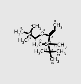 C/C=C(\OC[Si](C)(C)C)[Si](C)(C)C(C)(C)C